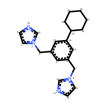 c1cn(Cc2cc(Cn3ccnc3)cc(C3CCCCC3)c2)cn1